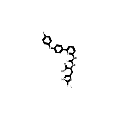 Cc1nc(CC(NC(=O)Nc2cccc(-c3ccc(Oc4ccc(F)cc4)cc3)n2)C(=O)O)c[nH]1